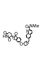 CNC(=O)c1ccc2cc(CN3CC[C@H](Oc4ccc5c(c4)CN(C4CCC(=O)NC4=O)C5=O)C3)ccc2n1